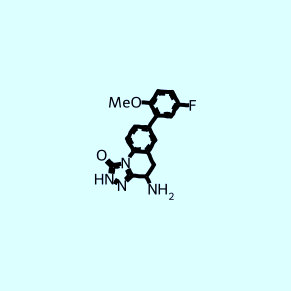 COc1ccc(F)cc1-c1ccc2c(c1)CC(N)c1n[nH]c(=O)n1-2